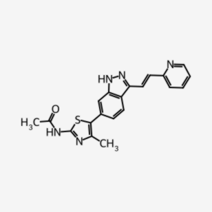 CC(=O)Nc1nc(C)c(-c2ccc3c(C=Cc4ccccn4)n[nH]c3c2)s1